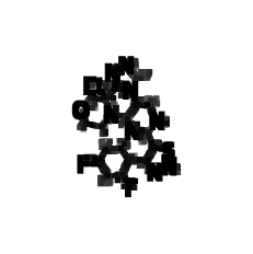 CC[C@]12COCCN1c1nc(-c3snnc3-c3ccc(F)cc3F)ncc1-n1cnnc12